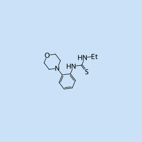 CCNC(=S)Nc1ccccc1N1CCOCC1